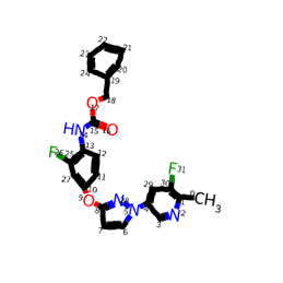 Cc1ncc(-n2ccc(Oc3ccc(NC(=O)OCc4ccccc4)c(F)c3)n2)cc1F